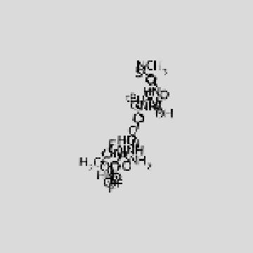 Cc1ncsc1-c1ccc(CNC(=O)[C@@H]2C[C@@H](O)CN2C(=O)C(NC(=O)c2ccc(COc3ccc(Nc4[nH]nc(-c5ccc(NS(=O)(=O)C(F)F)c(OC(C)c6ccc(F)cc6)c5)c4C(N)=O)nc3)cc2)C(C)(C)C)cc1